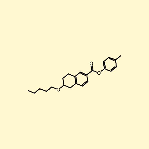 CCCCCOC1CCc2cc(C(=O)Oc3ccc(C)cc3)ccc2C1